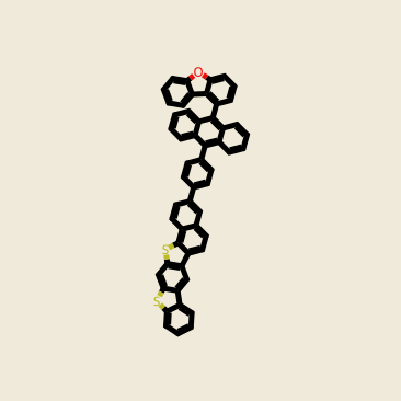 c1ccc2c(c1)oc1cccc(-c3c4ccccc4c(-c4ccc(-c5ccc6c(ccc7c8cc9c(cc8sc67)sc6ccccc69)c5)cc4)c4ccccc34)c12